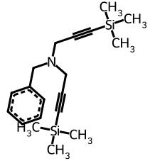 C[Si](C)(C)C#CCN(CC#C[Si](C)(C)C)Cc1ccccc1